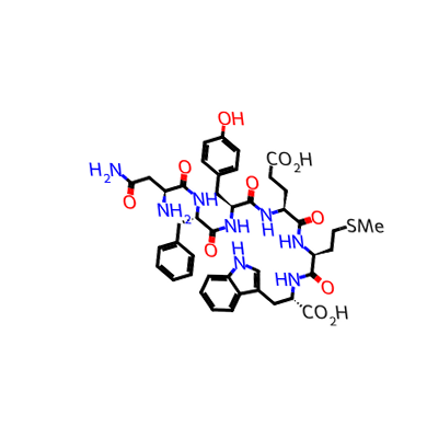 CSCC[C@H](NC(=O)[C@H](CCC(=O)O)NC(=O)[C@H](Cc1ccc(O)cc1)NC(=O)[C@H](Cc1ccccc1)NC(=O)[C@@H](N)CC(N)=O)C(=O)N[C@@H](Cc1c[nH]c2ccccc12)C(=O)O